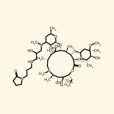 CC[C@H]1OC(=O)[C@H](C)[C@@H](O[C@H]2C[C@@](C)(OC)[C@@H](O)[C@H](C)O2)[C@H](C)[C@@H](O[C@@H]2O[C@H](C)CC(N(C)CC(O)CNCCCN3CCCC3=O)[C@H]2O)[C@](C)(O)C[C@@H](C)CN(C)[C@H](C)[C@@H](O)[C@]1(C)O